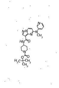 CN(c1cccnc1)c1ccn2ncc(C(=O)NC3CCN(C(=O)OC(C)(C)C)CC3)c2n1